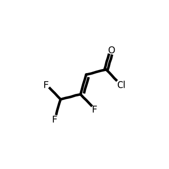 O=C(Cl)C=C(F)C(F)F